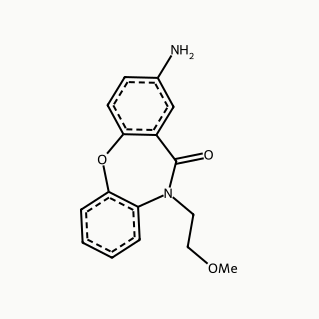 COCCN1C(=O)c2cc(N)ccc2Oc2ccccc21